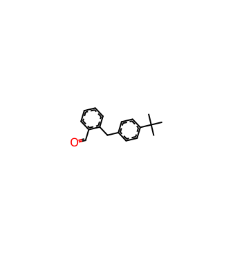 CC(C)(C)c1ccc(Cc2ccccc2C=O)cc1